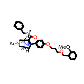 COc1ccccc1COCCCOc1ccc(C2=C(C(=O)N(C)Cc3ccccc3)[C@H]3CN(C(C)=O)C[C@@H](C2)N3)cc1